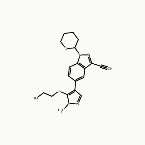 C#Cc1nn(C2CCCCO2)c2ccc(-c3cnn(C)c3OCCO)cc12